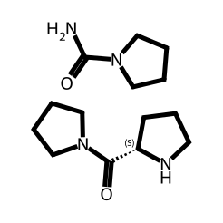 NC(=O)N1CCCC1.O=C([C@@H]1CCCN1)N1CCCC1